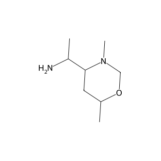 CC1CC(C(C)N)N(C)CO1